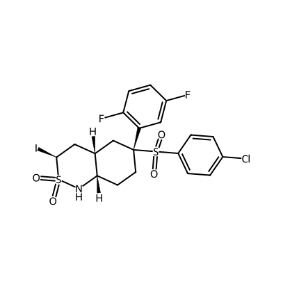 O=S1(=O)N[C@H]2CC[C@@](c3cc(F)ccc3F)(S(=O)(=O)c3ccc(Cl)cc3)C[C@H]2C[C@@H]1I